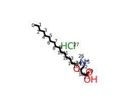 CCCCCCCCCCCCCCCCOC(CC(=O)O)C[N+](C)(C)C.Cl